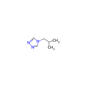 CC(C)Cn1[c]nnc1